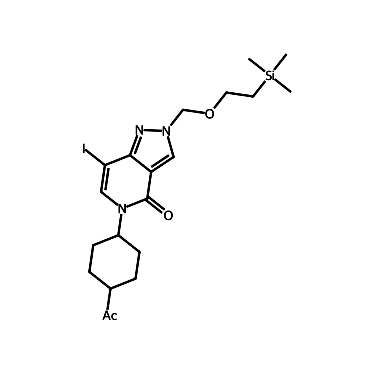 CC(=O)C1CCC(n2cc(I)c3nn(COCC[Si](C)(C)C)cc3c2=O)CC1